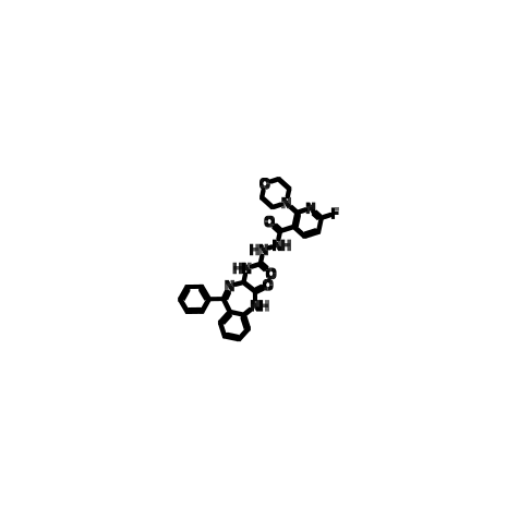 O=C(NNC(=O)c1ccc(F)nc1N1CCOCC1)NC1N=C(c2ccccc2)c2ccccc2NC1=O